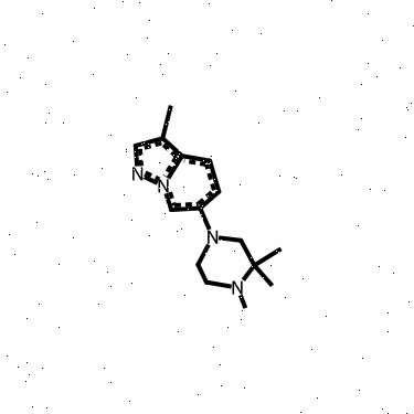 Cc1cnn2cc(N3CCN(C)C(C)(C)C3)ccc12